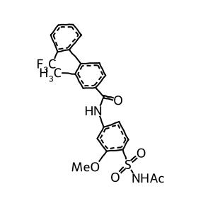 COc1cc(NC(=O)c2ccc(-c3ccccc3C(F)(F)F)c(C)c2)ccc1S(=O)(=O)NC(C)=O